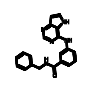 O=C(NCc1ccccc1)c1cccc(Nc2ncnc3cc[nH]c23)c1